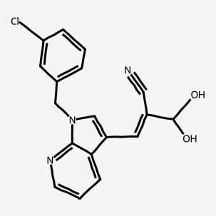 N#C/C(=C\c1cn(Cc2cccc(Cl)c2)c2ncccc12)C(O)O